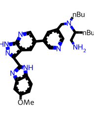 CCCCC(CN)N(CCCC)Cc1cncc(-c2cnc3[nH]nc(-c4nc5cc(OC)ccc5[nH]4)c3c2)c1